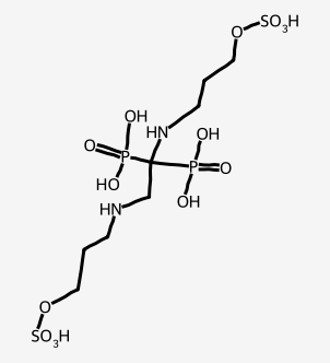 O=P(O)(O)C(CNCCCOS(=O)(=O)O)(NCCCOS(=O)(=O)O)P(=O)(O)O